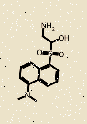 CN(C)c1cccc2c(S(=O)(=O)C(O)CN)cccc12